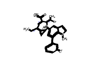 C\C=C(/C=C(C(=O)N=O)\C(Nc1cc(-c2cccc(Cl)c2)c2c(ccn2C)c1)=C(/C)CC)C1CC1